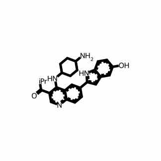 CC(C)C(=O)c1cnc2ccc(-c3cc4cc(O)ccc4[nH]3)cc2c1NC1CCC(N)CC1